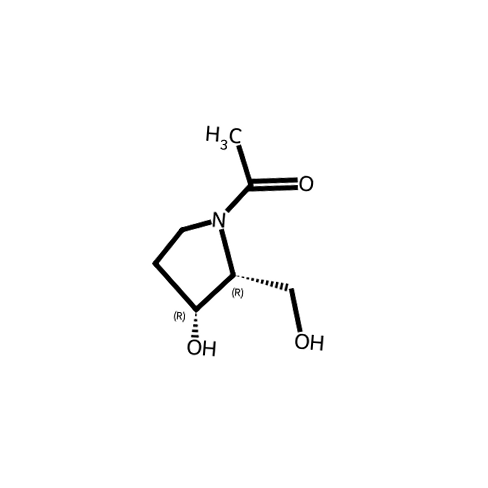 CC(=O)N1CC[C@@H](O)[C@H]1CO